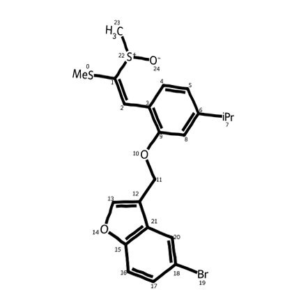 CSC(=Cc1ccc(C(C)C)cc1OCc1coc2ccc(Br)cc12)[S+](C)[O-]